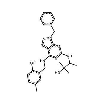 Cc1ccc(O)c(CNc2nc(NC(C)C(C)(C)O)nc3c2ncn3Cc2ccccc2)c1